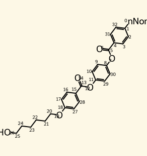 CCCCCCCCCc1ccc(C(=O)Oc2ccc(OC(=O)c3ccc(OCCCCCCO)cc3)cc2)cc1